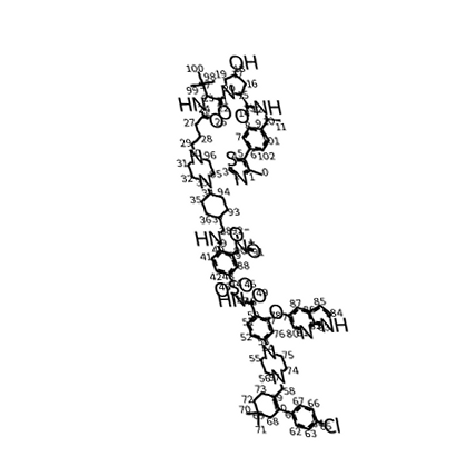 Cc1ncsc1-c1ccc([C@H](C)NC(=O)[C@@H]2C[C@@H](O)CN2C(=O)[C@@H](NC(=O)CCCN2CCN(C3CCC(CNc4ccc(S(=O)(=O)NC(=O)c5ccc(N6CCN(CC7=C(c8ccc(Cl)cc8)CC(C)(C)CC7)CC6)cc5Oc5cnc6[nH]ccc6c5)cc4[N+](=O)[O-])CC3)CC2)C(C)(C)C)cc1